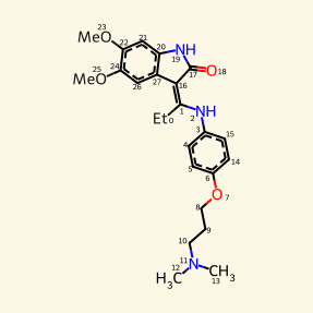 CC/C(Nc1ccc(OCCCN(C)C)cc1)=C1/C(=O)Nc2cc(OC)c(OC)cc21